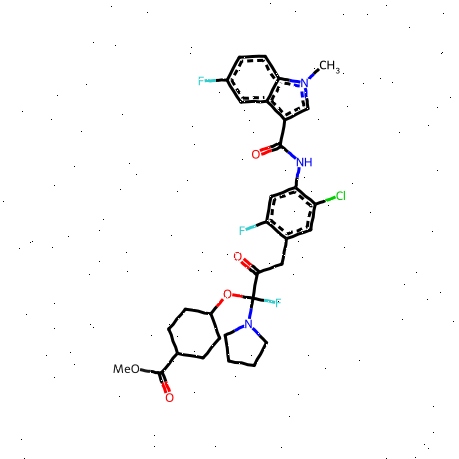 COC(=O)C1CCC(OC(F)(C(=O)Cc2cc(Cl)c(NC(=O)c3cn(C)c4ccc(F)cc34)cc2F)N2CCCC2)CC1